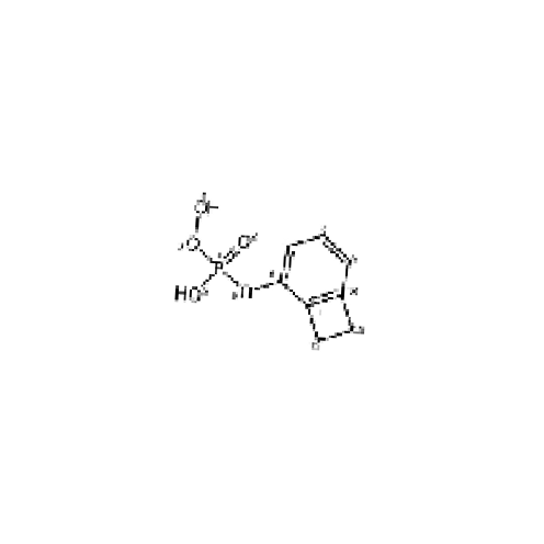 O=P(O)(OO)Oc1cccc2c1CC2